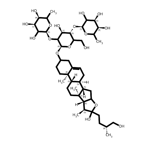 CC1O[C@@H](OC2[C@H](OC3CC[C@@]4(C)C(=CC[C@H]5[C@@H]6CC7OC(O)(CC[C@@H](C)CO)[C@@H](C)[C@@H]7[C@@]6(C)CC[C@@H]54)C3)OC(CO)[C@@H](O[C@@H]3OC(C)[C@H](O)[C@H](O)C3O)[C@@H]2O)C(O)[C@@H](O)[C@H]1O